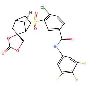 O=C1OC[C@]2(CC3CCC2[C@@H]3S(=O)(=O)c2cc(C(=O)Nc3cc(F)c(F)c(F)c3)ccc2Cl)O1